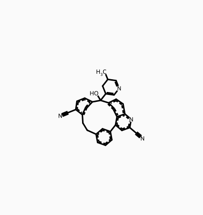 CC1C=NC=C(C2(O)c3ccc(C#N)c(c3)CCc3cccc(c3)-c3cc(C#N)nc4ccc2cc34)C1